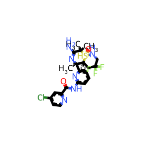 CC1(C)C(N)=N[C@](C)(c2nc(NC(=O)c3cc(Cl)ccn3)ccc2F)[C@H]2CC(F)(F)CN[SH]21=O